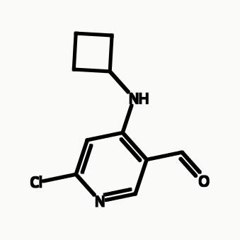 O=Cc1cnc(Cl)cc1NC1CCC1